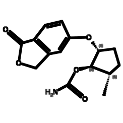 C[C@H]1CC[C@@H](Oc2ccc3c(c2)COC3=O)[C@@H]1OC(N)=O